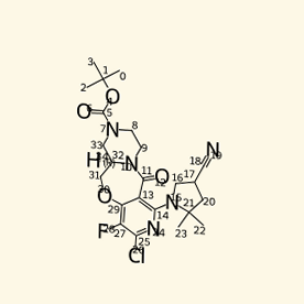 CC(C)(C)OC(=O)N1CCN2C(=O)c3c(N4CC(C#N)CC4(C)C)nc(Cl)c(F)c3OC[C@H]2C1